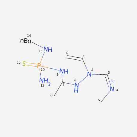 C=CN(/C=N\C)NC(C)NP(N)(=S)NCCCC